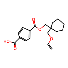 C=COCC1(COC(=O)c2ccc(C(=O)O)cc2)CCCCC1